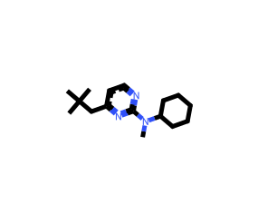 CN(c1nccc(CC(C)(C)C)n1)C1CCCCC1